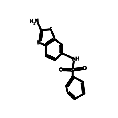 Nc1nc2ccc(NS(=O)(=O)c3ccccc3)cc2s1